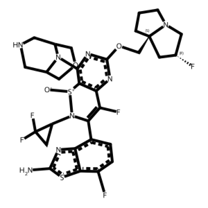 Nc1nc2c(C3=C(F)c4nc(OC[C@@]56CCCN5C[C@H](F)C6)nc(N5C6CNCC5COC6)c4[S+]([O-])N3C3CC3(F)F)ccc(F)c2s1